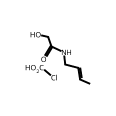 C/C=C/CNC(=O)CO.O=C(O)Cl